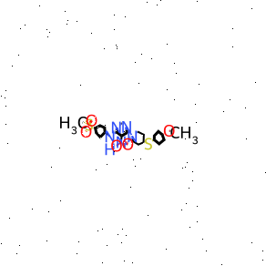 COc1ccc(SC2CCN(c3ncnc(Nc4ccc(S(C)(=O)=O)cc4)c3[N+](=O)[O-])CC2)cc1